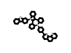 c1ccc2c(c1)-c1c(n(-c3ccc4c(c3)oc3ccccc34)c3ccccc13)-c1ccccc1N2c1ccc(-c2ccc3ccc4cccnc4c3n2)cc1